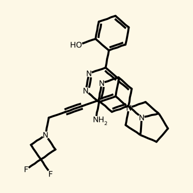 Nc1nnc(-c2ccccc2O)cc1N1CC2CCC(C1)N2c1ccnc(C#CCN2CC(F)(F)C2)c1